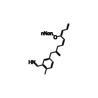 C=C/C=C(\C=C/CC(=C)Cc1ccc(C)c(C=N)c1)OCCCCCCCCC